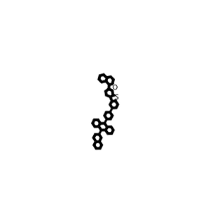 c1ccc2cc(-c3c4ccccc4c(-c4ccc(-c5ccc6sc7c(ccc8c7oc7ccc9ccccc9c78)c6c5)cc4)c4ccccc34)ccc2c1